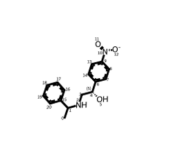 CC(NC[C@@H](O)c1ccc([N+](=O)[O-])cc1)c1ccccc1